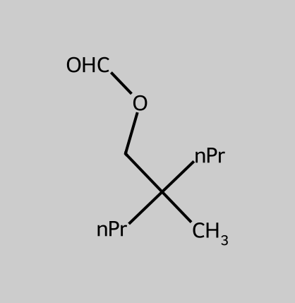 CCCC(C)(CCC)COC=O